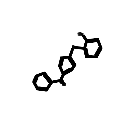 CC(C)(C)c1ccccc1Sc1ccc(C(=O)c2ccccc2)cc1